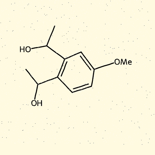 COc1ccc(C(C)O)c(C(C)O)c1